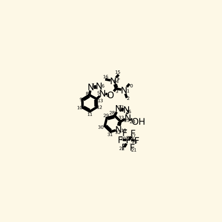 CN(C)C(On1nnc2ccccc21)=[N+](C)C.F[P-](F)(F)(F)(F)F.On1nnc2cccnc21